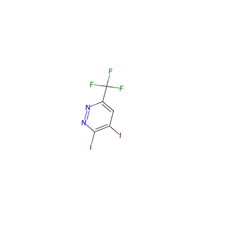 FC(F)(F)c1cc(I)c(I)nn1